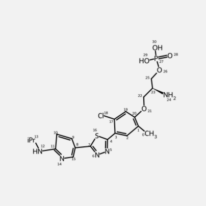 Cc1cc(-c2nnc(-c3ccc(NC(C)C)nc3)s2)c(Cl)cc1OC[C@H](N)COP(=O)(O)O